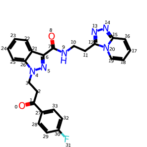 O=C(CCn1nc(C(=O)NCCc2nnc3ccccn23)c2ccccc21)c1ccc(F)cc1